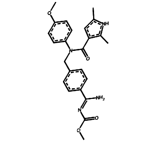 COC(=O)/N=C(\N)c1ccc(CN(C(=O)c2cc(C)[nH]c2C)c2ccc(OC)cc2)cc1